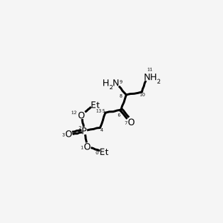 CCOP(=O)(CCC(=O)C(N)CN)OCC